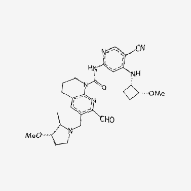 COC1CCN(Cc2cc3c(nc2C=O)N(C(=O)Nc2cc(N[C@H]4CC[C@H]4OC)c(C#N)cn2)CCC3)C1C